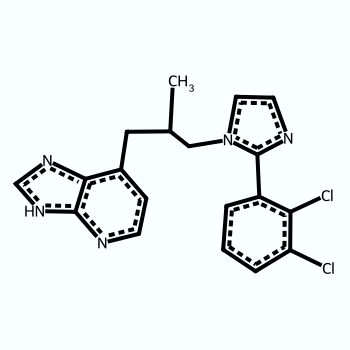 CC(Cc1ccnc2[nH]cnc12)Cn1ccnc1-c1cccc(Cl)c1Cl